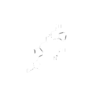 CC#N.CCCN(CCCc1ccc(C2CCC(Br)C2)cc1)Cc1ccccc1